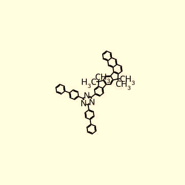 CC1(C)c2cc(-c3nc(-c4ccc(-c5ccccc5)cc4)nc(-c4ccc(-c5ccccc5)cc4)n3)ccc2-c2cc3c(cc21)-c1c(ccc2cc4ccccc4cc12)C3(C)C